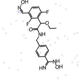 CCOC(C(=O)NCc1ccc(C(=N)NO)cc1)c1c(F)ccc(/C=N\O)c1F